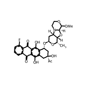 COC1OCCN2[C@@H]1O[C@@H]1[C@H](C)O[C@@H](O[C@@H]3C[C@](O)(C(C)=O)Cc4c(O)c5c(c(O)c43)C(=O)c3c(F)cccc3C5=O)C[C@@H]12